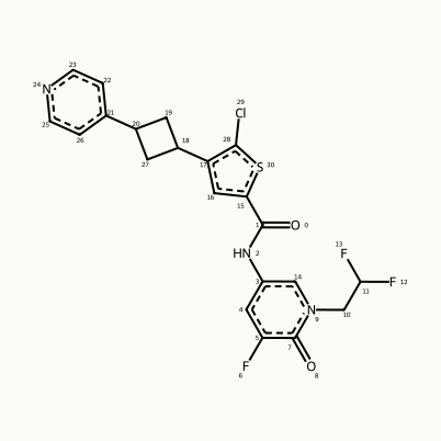 O=C(Nc1cc(F)c(=O)n(CC(F)F)c1)c1cc(C2CC(c3ccncc3)C2)c(Cl)s1